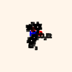 CCOC(=O)C1(NC(=O)c2cccc(C)c2OC2CCC2)Cc2ccc(C(F)(F)F)cc2C1